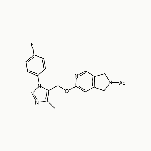 CC(=O)N1Cc2cnc(OCc3c(C)nnn3-c3ccc(F)cc3)cc2C1